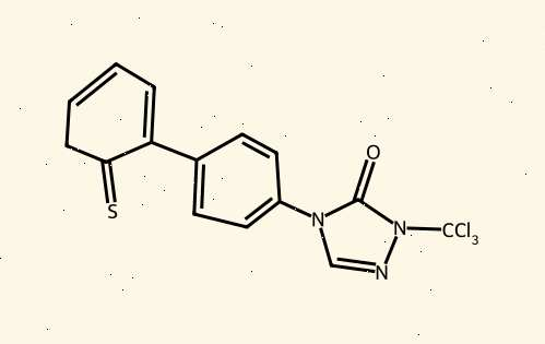 O=c1n(-c2ccc(C3=CC=CCC3=S)cc2)cnn1C(Cl)(Cl)Cl